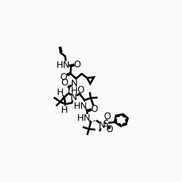 C=CCNC(=O)C(=O)C(CC1CC1)NC(=O)[C@@H]1[C@@H]2[C@H](CN1C(=O)[C@@H](NC(=O)N[C@H](CN(C)S(=O)(=O)c1ccccc1)C(C)(C)C)C(C)(C)C)C2(C)C